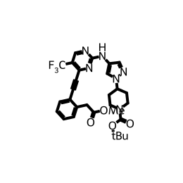 COC(=O)Cc1ccccc1C#Cc1nc(Nc2cnn(C3CCN(C(=O)OC(C)(C)C)CC3)c2)ncc1C(F)(F)F